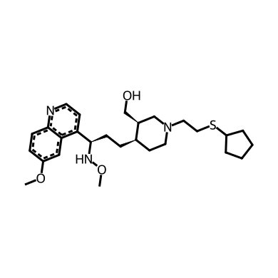 CON[C@H](CC[C@@H]1CCN(CCSC2CCCC2)C[C@@H]1CO)c1ccnc2ccc(OC)cc12